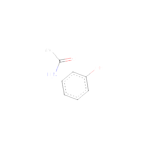 CCC(C)C(N)=O.Oc1ccccc1